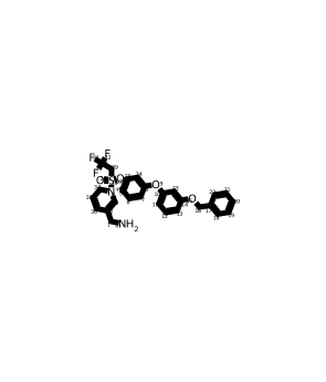 NCC1=C[N+](c2ccc(Oc3cccc(OCc4ccccc4)c3)cc2)(S(=O)(=O)CC(F)(F)F)CC=C1